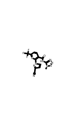 Cn1nnnc1NC(=O)c1ccc(C(F)(F)F)nc1-n1ccc(C#N)n1